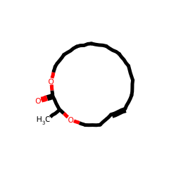 CC1OCC/C=C/CCCCCCCCCOC1=O